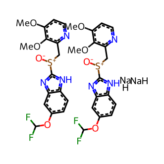 COc1ccnc(C[S+]([O-])c2nc3cc(OC(F)F)ccc3[nH]2)c1OC.COc1ccnc(C[S+]([O-])c2nc3cc(OC(F)F)ccc3[nH]2)c1OC.[NaH].[NaH]